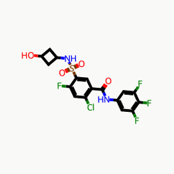 O=C(Nc1cc(F)c(F)c(F)c1)c1cc(S(=O)(=O)NC2CC(O)C2)c(F)cc1Cl